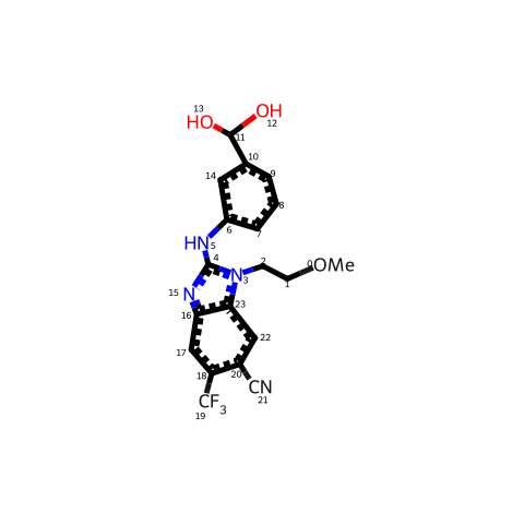 COCCn1c(Nc2cccc(C(O)O)c2)nc2cc(C(F)(F)F)c(C#N)cc21